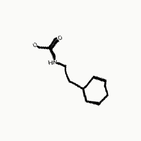 [O]C(=O)NCCC1CCCCC1